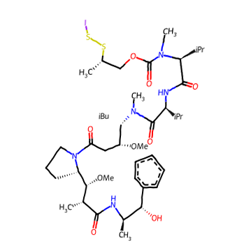 CC[C@H](C)[C@@H]([C@@H](CC(=O)N1CCC[C@H]1[C@H](OC)[C@@H](C)C(=O)N[C@H](C)[C@@H](O)c1ccccc1)OC)N(C)C(=O)[C@@H](NC(=O)[C@H](C(C)C)N(C)C(=O)OC[C@H](C)SSI)C(C)C